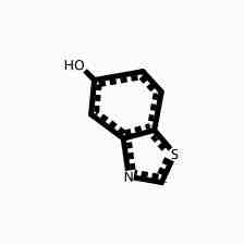 Oc1ccc2s[c]nc2c1